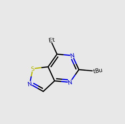 CCc1nc(C(C)(C)C)nc2cnsc12